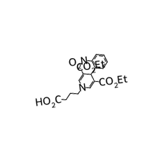 CCOC(=O)C1=CN(CCCC(=O)O)C=C(C(=O)OCC)C1c1ccccc1[N+](=O)[O-]